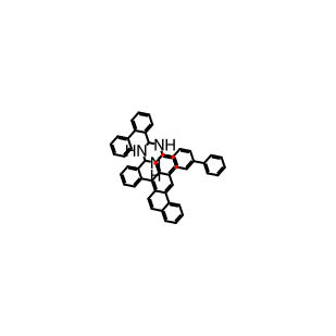 c1ccc(-c2ccc(C3NC(c4ccccc4-c4ccccc4)NC(c4ccccc4-c4c5ccccc5cc5c4ccc4ccccc45)N3)cc2)cc1